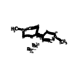 CN1[C+]=CC(=C2C=[C+]N(C)C=C2)C=C1.[Br-].[Br-]